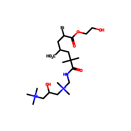 CCC(CC(CC(C)(C)C(=O)NC[N+](C)(C)CC(O)C[N+](C)(C)C)C(=O)O)C(=O)OCCO